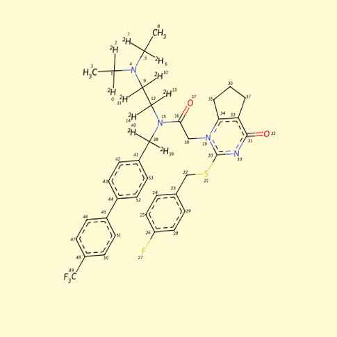 [2H]C([2H])(C)N(C([2H])([2H])C)C([2H])([2H])C([2H])([2H])N(C(=O)Cn1c(SCc2ccc(F)cc2)nc(=O)c2c1CCC2)C([2H])([2H])c1ccc(-c2ccc(C(F)(F)F)cc2)cc1